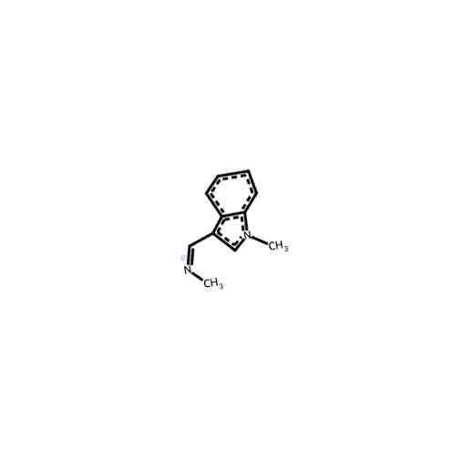 C/N=C\c1cn(C)c2ccccc12